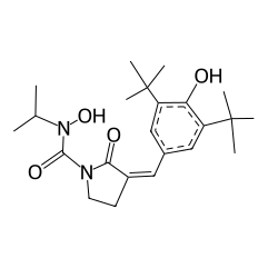 CC(C)N(O)C(=O)N1CCC(=Cc2cc(C(C)(C)C)c(O)c(C(C)(C)C)c2)C1=O